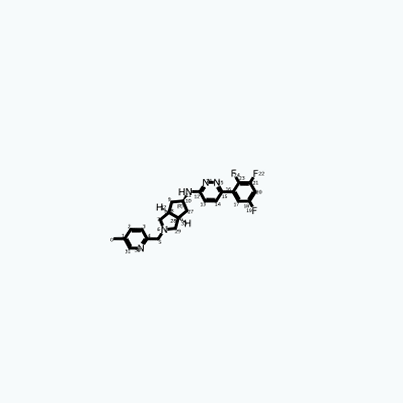 Cc1ccc(CN2C[C@H]3C[C@@H](Nc4ccc(-c5cc(F)cc(F)c5F)nn4)C[C@H]3C2)nc1